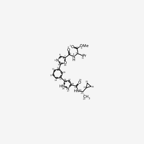 COC(=O)C(NC(=O)c1cnc(-c2cccc(-c3cc(C(=O)N[C@@H](C)C4CC4)n[nH]3)c2)o1)C(C)C